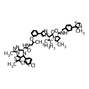 Cc1ncsc1-c1ccc(CNC(=O)[C@@H]2C[C@@H](C)CN2C(=O)[C@H](C(C)C)n2cc(-c3cccc(O[C@@H](C)CNC(=O)C[C@@H]4N=C(c5ccc(Cl)cc5)c5c(sc(C)c5C)-n5c(C)nnc54)c3)cn2)cc1